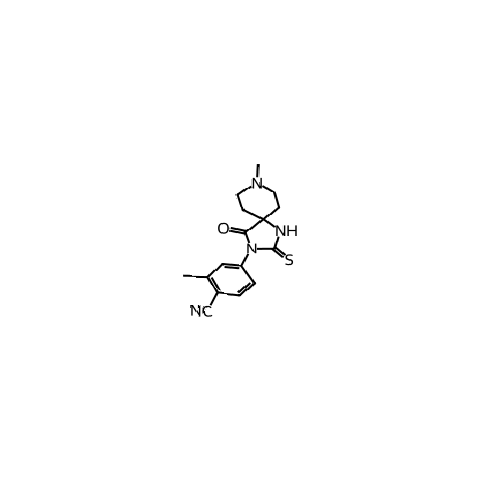 Cc1cc(N2C(=O)C3(CCN(C)CC3)NC2=S)ccc1C#N